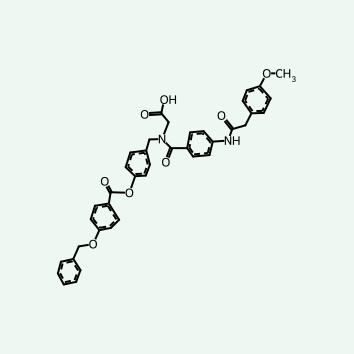 COc1ccc(CC(=O)Nc2ccc(C(=O)N(CC(=O)O)Cc3ccc(OC(=O)c4ccc(OCc5ccccc5)cc4)cc3)cc2)cc1